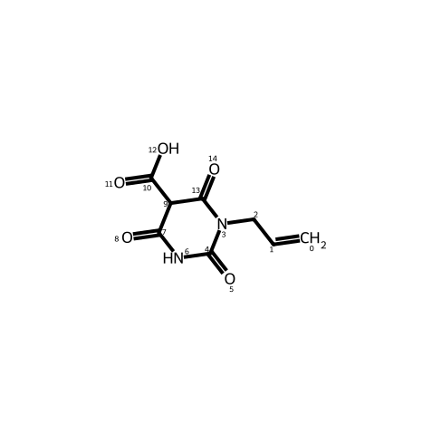 C=CCN1C(=O)NC(=O)C(C(=O)O)C1=O